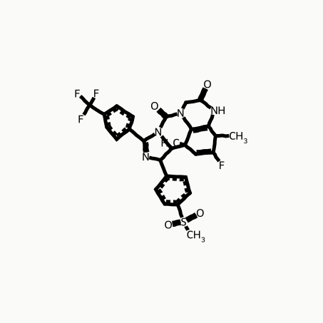 CC1C(F)=CC2(C)C3=C1NC(=O)CN3C(=O)N1C(c3ccc(C(F)(F)F)cc3)=NC(c3ccc(S(C)(=O)=O)cc3)C12